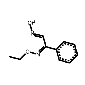 CCON=C(C=NO)c1ccccc1